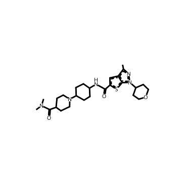 Cc1nn(C2CCOCC2)c2sc(C(=O)NC3CCC(N4CCC(C(=O)N(C)C)CC4)CC3)cc12